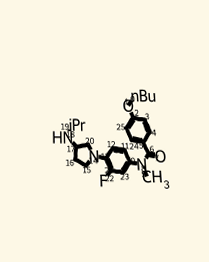 CCCCOc1ccc(C(=O)N(C)c2ccc(N3CCC(NC(C)C)C3)c(F)c2)cc1